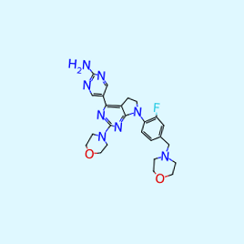 Nc1ncc(-c2nc(N3CCOCC3)nc3c2CCN3c2ccc(CN3CCOCC3)cc2F)cn1